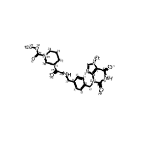 CCn1cnc2c1c(=O)[nH]c(=O)n2Cc1ccc(CNC(=O)[C@@H]2CCCN(C(=O)OC(C)(C)C)C2)cc1